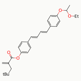 C=C(CC(C)(C)C)C(=O)Oc1ccc(C=CC=Cc2ccc(OC(C)OCC)cc2)cc1